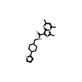 Cc1cc(C)n2c(C)nc(C(=O)NCC3CCC(c4ccco4)CC3)c2n1